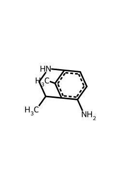 Cc1c2ccc(N)c1C(C)CN2